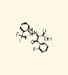 O=C(O)/C(=N/Nc1ccccc1C(F)(F)F)C(=O)c1ccccc1F